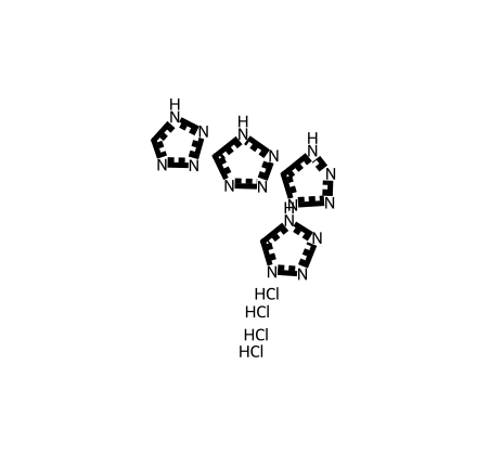 Cl.Cl.Cl.Cl.c1nnn[nH]1.c1nnn[nH]1.c1nnn[nH]1.c1nnn[nH]1